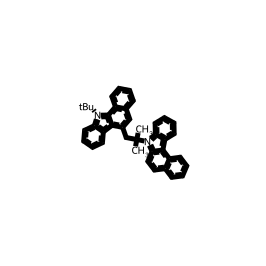 CC(C)(C)n1c2ccccc2c2c(CC(C)(C)n3c4ccccc4c4c5ccccc5ccc43)cc3ccccc3c21